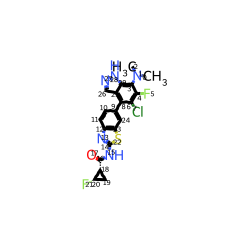 CN(C)c1c(F)c(Cl)c(-c2ccc3nc(NC(=O)[C@@H]4C[C@@H]4F)sc3c2)c2cn[nH]c12